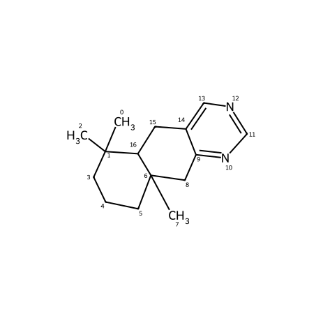 CC1(C)CCCC2(C)Cc3ncncc3CC12